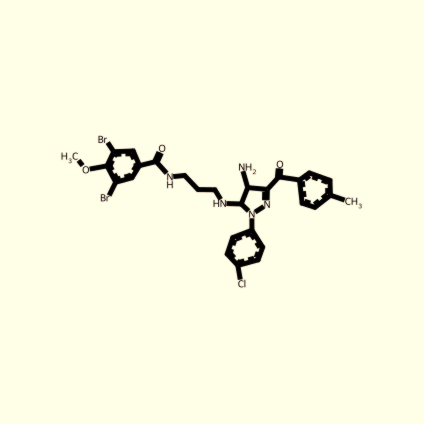 COc1c(Br)cc(C(=O)NCCCNC2C(N)C(C(=O)c3ccc(C)cc3)=NN2c2ccc(Cl)cc2)cc1Br